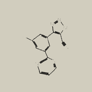 N#Cc1[nH]nnc1-c1cc(Cl)cc(-c2ncccn2)c1